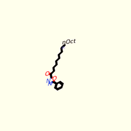 CCCCCCCC/C=C/CCCCCCCC(=O)c1nnc(-c2ccccc2)o1